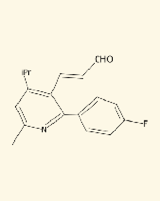 Cc1cc(C(C)C)c(C=CC=O)c(-c2ccc(F)cc2)n1